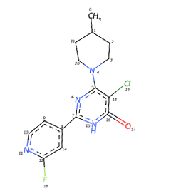 CC1CCN(c2nc(-c3ccnc(F)c3)[nH]c(=O)c2Cl)CC1